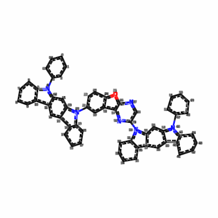 c1ccc(-n2c3ccccc3c3cc4c5ccccc5n(-c5ccc6oc7ncc(-n8c9ccccc9c9cc%10c%11ccccc%11n(-c%11ccccc%11)c%10cc98)nc7c6c5)c4cc32)cc1